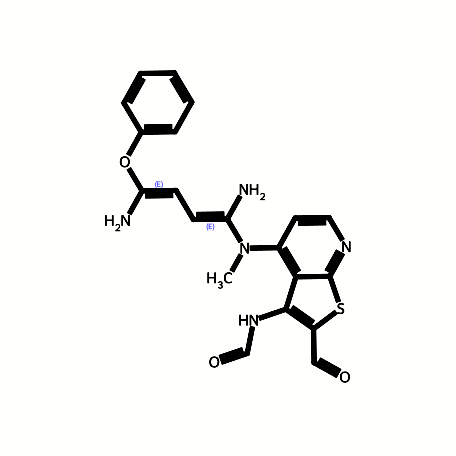 CN(/C(N)=C/C=C(\N)Oc1ccccc1)c1ccnc2sc(C=O)c(NC=O)c12